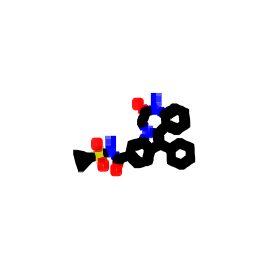 O=C1Cn2c(c(C3CCCCC3)c3ccc(C(=O)NS(=O)(=O)C4CC4)cc32)-c2ccccc2N1